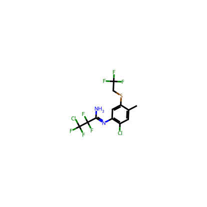 Cc1cc(Cl)c(/N=C(\N)C(F)(F)C(F)(F)Cl)cc1SCC(F)(F)F